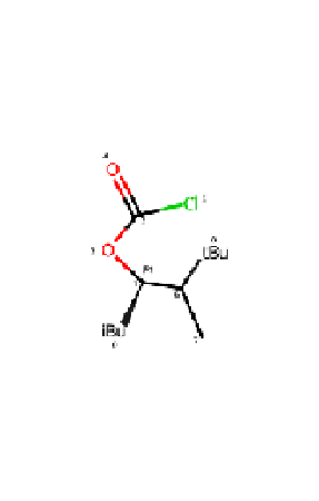 CCC(C)[C@@H](OC(=O)Cl)C(C)C(C)(C)C